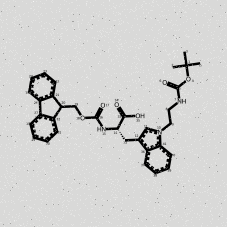 CC(C)(C)OC(=O)NCCn1cc(C[C@H](NC(=O)OCC2c3ccccc3-c3ccccc32)C(=O)O)c2ccccc21